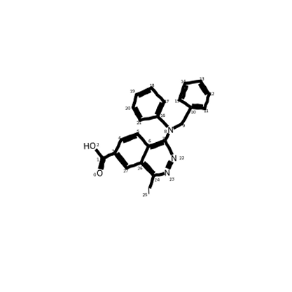 O=C(O)c1ccc2c(N(Cc3ccccc3)c3ccccc3)nnc(I)c2c1